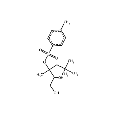 Cc1ccc(S(=O)(=O)OC(C)(CC(C)(C)C)C(O)CO)cc1